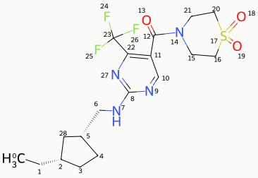 CC[C@H]1CC[C@@H](CNc2ncc(C(=O)N3CCS(=O)(=O)CC3)c(C(F)(F)F)n2)C1